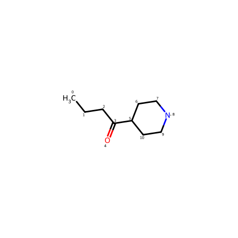 CCCC(=O)C1CC[N]CC1